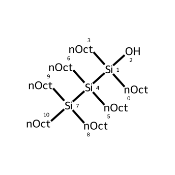 CCCCCCCC[Si](O)(CCCCCCCC)[Si](CCCCCCCC)(CCCCCCCC)[Si](CCCCCCCC)(CCCCCCCC)CCCCCCCC